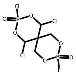 O=P1(F)OCC2(CO1)C(Cl)OP(=O)(Cl)OC2Cl